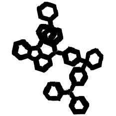 c1ccc(N(c2ccccc2)c2ccc(C3(c4ccc(N(c5ccc(C6CCCCC6)cc5)c5cccc6c7ccccc7n(-c7ccccc7)c56)cc4)CCCCC3)cc2)cc1